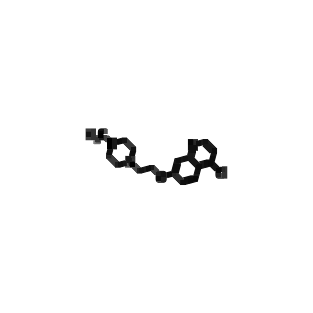 CN1CCN(CCOc2ccc3c(Cl)ccnc3c2)CC1